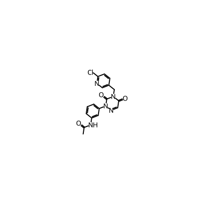 CC(=O)Nc1cccc(-n2ncc(=O)n(Cc3ccc(Cl)nc3)c2=O)c1